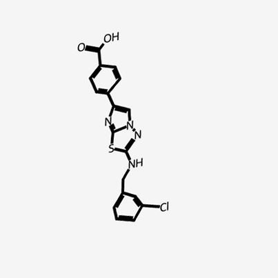 O=C(O)c1ccc(-c2cn3nc(NCc4cccc(Cl)c4)sc3n2)cc1